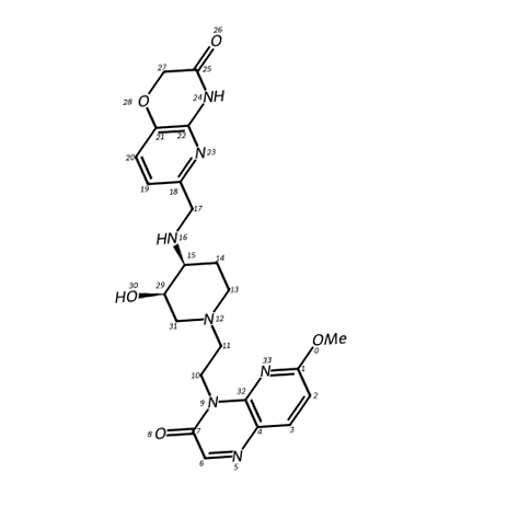 COc1ccc2ncc(=O)n(CCN3CC[C@H](NCc4ccc5c(n4)NC(=O)CO5)[C@H](O)C3)c2n1